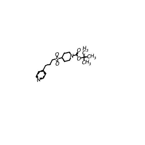 CC(C)(C)OC(=O)N1CCC(S(=O)(=O)CCCc2ccncc2)CC1